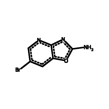 Nc1nc2ncc(Br)cc2o1